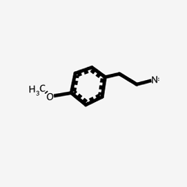 COc1ccc(CC[N])cc1